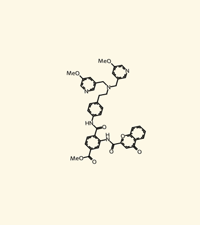 COC(=O)c1ccc(C(=O)Nc2ccc(CCN(Cc3cncc(OC)c3)Cc3cncc(OC)c3)cc2)c(NC(=O)c2cc(=O)c3ccccc3o2)c1